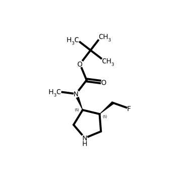 CN(C(=O)OC(C)(C)C)[C@@H]1CNC[C@@H]1CF